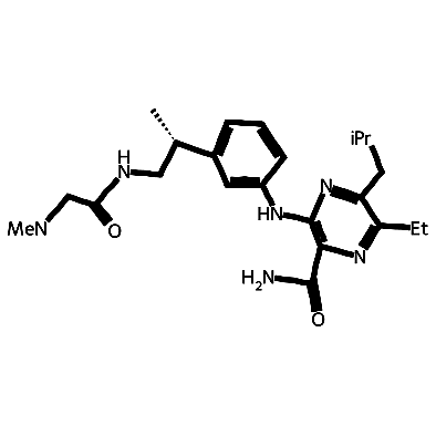 CCc1nc(C(N)=O)c(Nc2cccc([C@@H](C)CNC(=O)CNC)c2)nc1CC(C)C